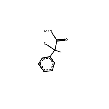 CNC(=O)C(F)(F)c1ccccc1